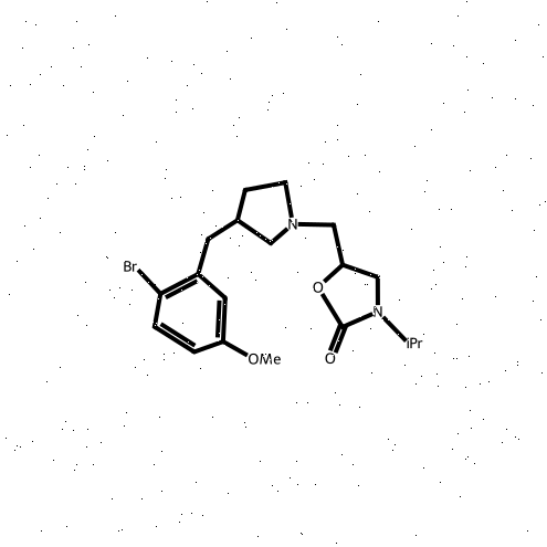 COc1ccc(Br)c(CC2CCN(CC3CN(C(C)C)C(=O)O3)C2)c1